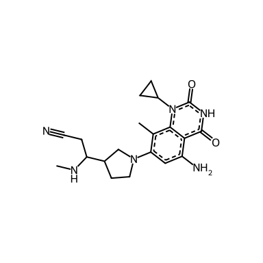 CNC(CC#N)C1CCN(c2cc(N)c3c(=O)[nH]c(=O)n(C4CC4)c3c2C)C1